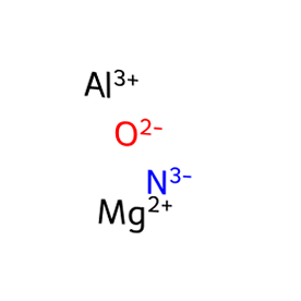 [Al+3].[Mg+2].[N-3].[O-2]